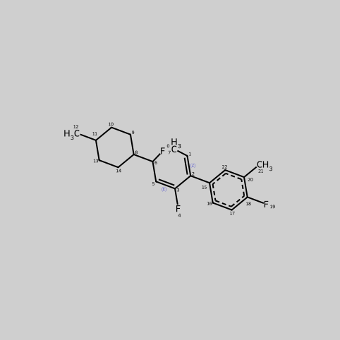 C/C=C(\C(F)=C/C(F)C1CCC(C)CC1)c1ccc(F)c(C)c1